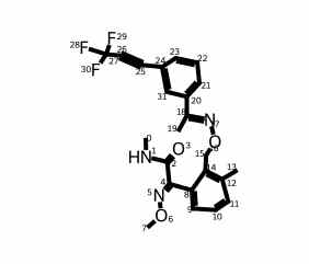 CNC(=O)/C(=N/OC)c1cccc(C)c1CO/N=C(\C)c1cccc(C#CC(F)(F)F)c1